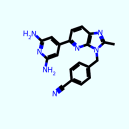 Cc1nc2ccc(-c3cc(N)nc(N)c3)nc2n1Cc1ccc(C#N)cc1